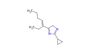 CCC/C=C(\CC)C1=NC(C2CC2)=NC1